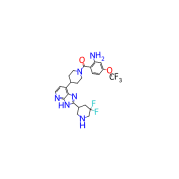 Nc1cc(OC(F)(F)F)ccc1C(=O)N1CCC(c2ccnc3[nH]c(C4CNCC(F)(F)C4)nc23)CC1